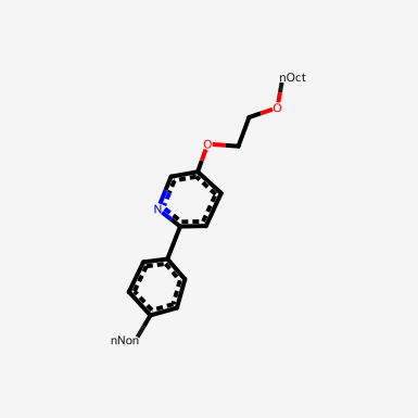 CCCCCCCCCc1ccc(-c2ccc(OCCOCCCCCCCC)cn2)cc1